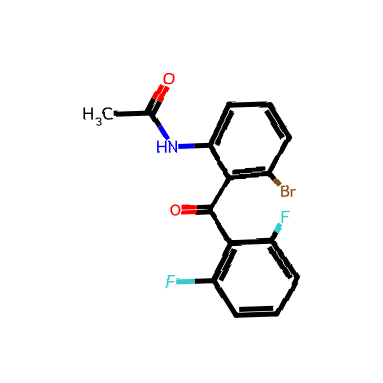 CC(=O)Nc1cccc(Br)c1C(=O)c1c(F)cccc1F